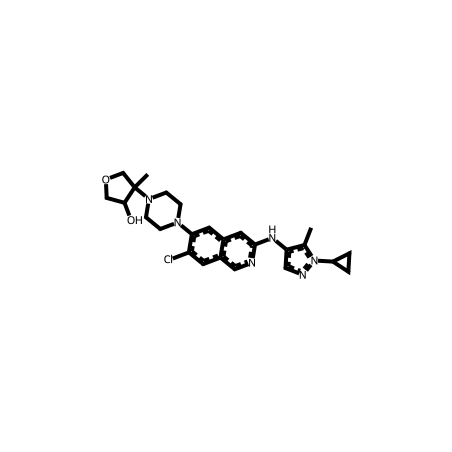 Cc1c(Nc2cc3cc(N4CCN(C5(C)COCC5O)CC4)c(Cl)cc3cn2)cnn1C1CC1